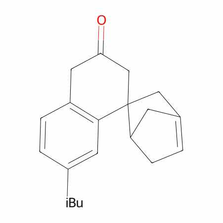 CCC(C)c1ccc2c(c1)C1(CC(=O)C2)CC2=CCC1C2